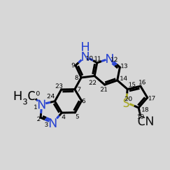 Cn1cnc2ccc(-c3c[nH]c4ncc(-c5ccc(C#N)s5)cc34)cc21